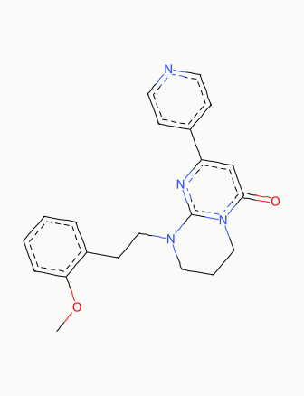 COc1ccccc1CCN1CCCn2c1nc(-c1ccncc1)cc2=O